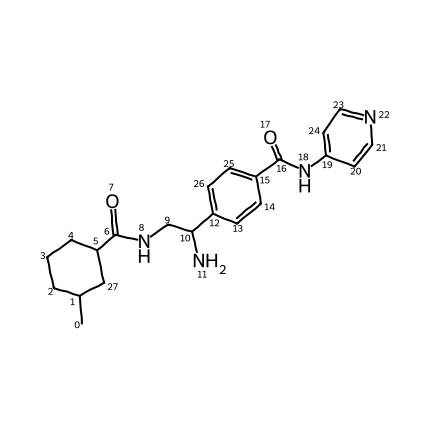 CC1CCCC(C(=O)NCC(N)c2ccc(C(=O)Nc3ccncc3)cc2)C1